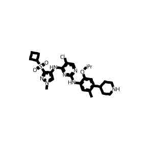 Cc1cc(Nc2ncc(Cl)c(Nc3cn(C)nc3S(=O)(=O)C3CCC3)n2)c(OC(C)C)cc1C1CCNCC1